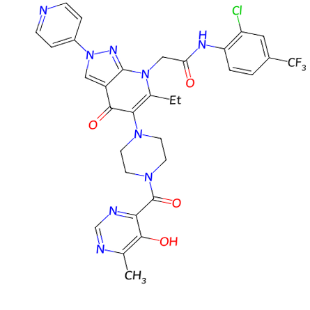 CCc1c(N2CCN(C(=O)c3ncnc(C)c3O)CC2)c(=O)c2cn(-c3ccncc3)nc2n1CC(=O)Nc1ccc(C(F)(F)F)cc1Cl